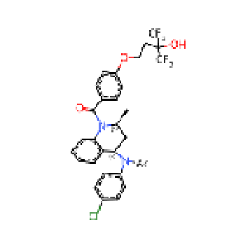 CC(=O)N(c1ccc(Cl)cc1)[C@@H]1C[C@H](C)N(C(=O)c2ccc(OCCC(O)(C(F)(F)F)C(F)(F)F)cc2)c2ccccc21